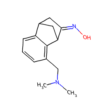 CN(C)Cc1cccc2c1C1CC2CC1=NO